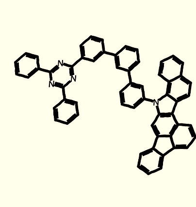 c1ccc(-c2nc(-c3ccccc3)nc(-c3cccc(-c4cccc(-c5cccc(-n6c7cc8c9c(cccc9c7c7ccc9ccccc9c76)-c6ccccc6-8)c5)c4)c3)n2)cc1